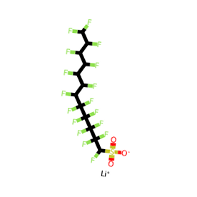 O=S(=O)([O-])C(F)C(F)(F)C(F)(F)C(F)(F)C(F)(F)C(F)C(F)C(F)C(F)C(F)C(F)C(F)F.[Li+]